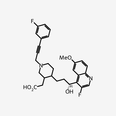 COc1ccc2ncc(F)c([C@H](O)CCC3CCN(CC#Cc4cccc(F)c4)CC3CC(=O)O)c2c1